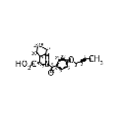 CC#CCOc1ccc(C(=O)NCC(C(=O)O)C2CCCCC2)cc1